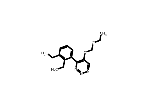 CCOCOc1cnnnc1-c1cccc(CC)c1CC